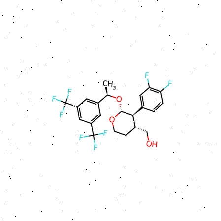 C[C@@H](O[C@H]1OCC[C@@H](CO)[C@@H]1c1ccc(F)c(F)c1)c1cc(C(F)(F)F)cc(C(F)(F)F)c1